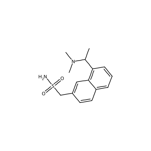 CC(c1cccc2ccc(CS(N)(=O)=O)cc12)N(C)C